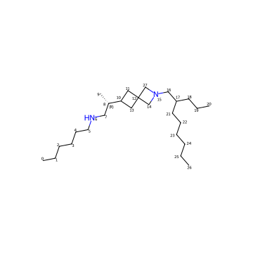 CCCCCCNC[C@H](C)C1CC2(C1)CN(CC(CCC)CCCCCC)C2